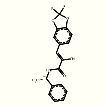 C[C@H](NC(=O)/C(C#N)=C/c1ccc2c(c1)OC(F)(F)O2)c1ccccc1